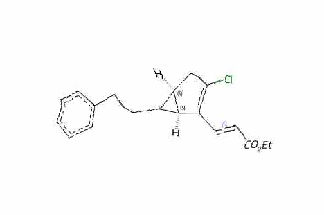 CCOC(=O)/C=C/C1=C(Cl)C[C@@H]2C(CCc3ccccc3)[C@H]12